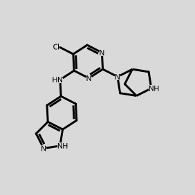 Clc1cnc(N2CC3CC2CN3)nc1Nc1ccc2[nH]ncc2c1